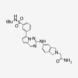 CC(C)(C)NS(=O)(=O)c1cccc(-c2ccc3cnc(Nc4ccc5c(c4)CN(CC(N)=O)C5)nn23)c1